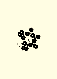 Cc1cccc(N(c2ccc(N(c3ccccc3)c3ccc(N(c4ccccc4)c4ccc(N(c5ccccc5)c5ccc(N(c6cccc(C)c6)c6cccc7ccccc67)cc5)cc4)cc3)cc2)c2cccc3ccccc23)c1